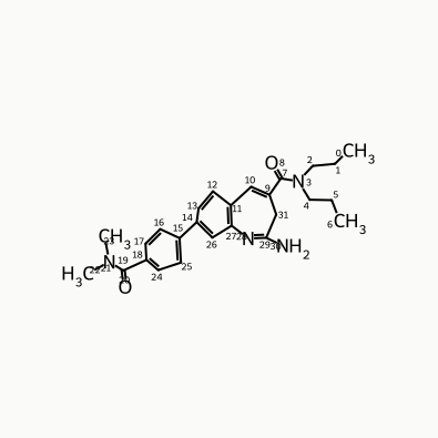 CCCN(CCC)C(=O)C1=Cc2ccc(-c3ccc(C(=O)N(C)C)cc3)cc2N=C(N)C1